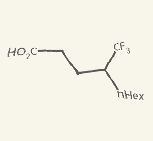 CCCCCCC(CCC(=O)O)C(F)(F)F